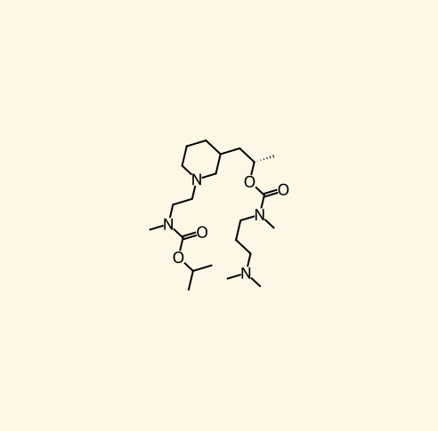 CC(C)OC(=O)N(C)CCN1CCCC(C[C@H](C)OC(=O)N(C)CCCN(C)C)C1